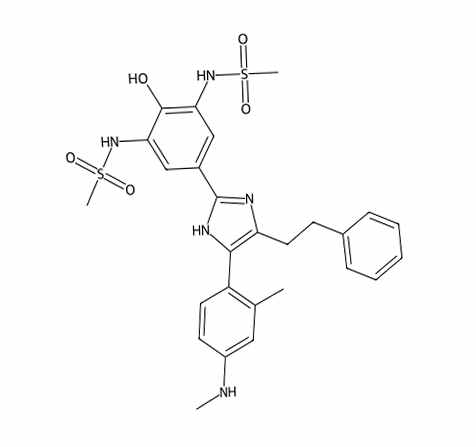 CNc1ccc(-c2[nH]c(-c3cc(NS(C)(=O)=O)c(O)c(NS(C)(=O)=O)c3)nc2CCc2ccccc2)c(C)c1